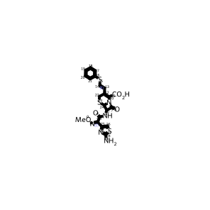 CO/N=C(\C(=O)NC1C(=O)N2C(C(=O)O)=C(/C=C/Sc3ccccc3)CSC12)c1csc(N)n1